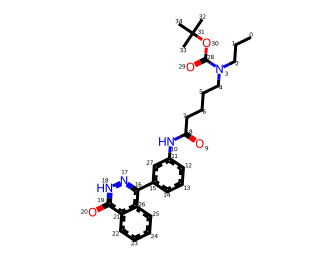 CCCN(CCCCC(=O)Nc1cccc(-c2n[nH]c(=O)c3ccccc23)c1)C(=O)OC(C)(C)C